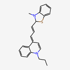 CCCN1C=C/C(=C\C=CC2Sc3ccccc3N2C)c2ccccc21